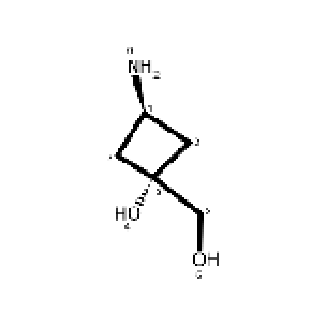 N[C@H]1C[C@@](O)(CO)C1